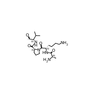 CC(C)[C@@H]([C]=O)NC(=O)[C@@H]1CCCN1C(=O)[C@H](CCCCN)NC(=O)[C@@H](C)N